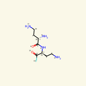 NCC[C@H](NC(=O)[C@@H](N)CCN)C(=O)F